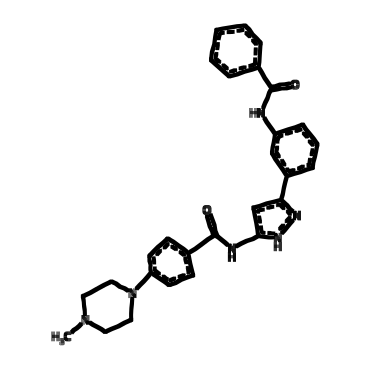 CN1CCN(c2ccc(C(=O)Nc3cc(-c4cccc(NC(=O)c5ccccc5)c4)n[nH]3)cc2)CC1